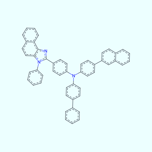 c1ccc(-c2ccc(N(c3ccc(-c4ccc5ccccc5c4)cc3)c3ccc(-c4nc5c6ccccc6ccc5n4-c4ccccc4)cc3)cc2)cc1